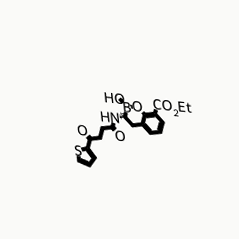 CCOC(=O)c1cccc2c1OB(O)[C@@H](NC(=O)CCC(=O)c1cccs1)C2